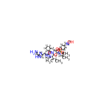 CC[C@H](C)[C@@H](C(=O)N[C@@H](Cc1ccccc1)[C@H](O)CN(CC(C)C)S(=O)(=O)c1ccc(/C=N/O)cc1)N1CCN(Cc2c[nH]c(CN)n2)C1=O